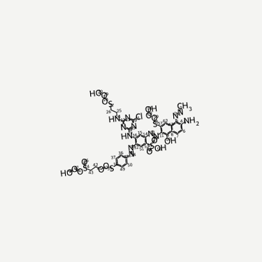 CN=Nc1c(N)ccc2c(O)c(N=Nc3cc(Nc4nc(Cl)nc(NCCSOOO)n4)c(N=Nc4ccc(SOOCCS(=O)OOO)cc4)cc3S(=O)(=O)O)c(SOOO)cc12